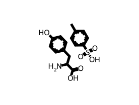 Cc1ccc(S(=O)(=O)O)cc1.NC(Cc1ccc(O)cc1)C(=O)O